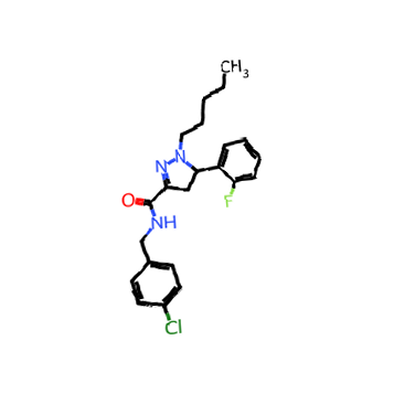 CCCCCN1N=C(C(=O)NCc2ccc(Cl)cc2)CC1c1ccccc1F